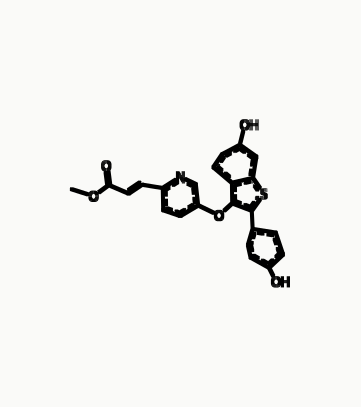 COC(=O)C=Cc1ccc(Oc2c(-c3ccc(O)cc3)sc3cc(O)ccc23)cn1